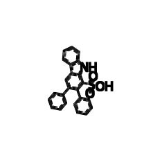 O=S(=O)(O)c1c(-c2ccccc2)c(-c2ccccc2)cc2c1[nH]c1ccccc12